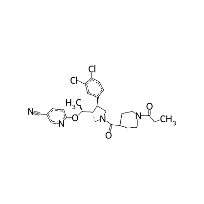 CCC(=O)N1CCC(C(=O)N2C[C@H]([C@H](C)Oc3ccc(C#N)cn3)[C@@H](c3ccc(Cl)c(Cl)c3)C2)CC1